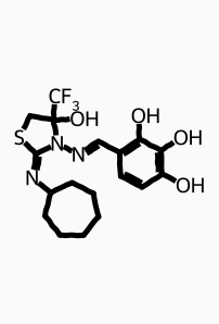 Oc1ccc(/C=N/N2/C(=N\C3CCCCCC3)SCC2(O)C(F)(F)F)c(O)c1O